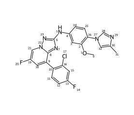 COc1cc(Nc2nc3c(-c4ccc(F)cc4Cl)cc(F)cn3n2)ccc1-n1cnc(C)c1